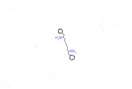 NC(CCCCCCC(N)Cc1ccccc1)Cc1ccccc1